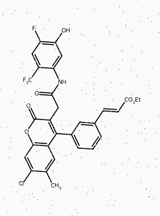 CCOC(=O)C=Cc1cccc(-c2c(CC(=O)Nc3cc(O)c(F)cc3C(F)(F)F)c(=O)oc3cc(Cl)c(C)cc23)c1